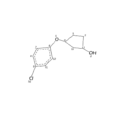 OC1CCC(Oc2[c]cc(Cl)cc2)C1